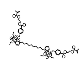 C=C(C)C(=O)OCCOC(=O)c1ccc(CSC2(P(=O)(OCC)OCC)SC3(CCCCCCCCCCC45C=CC(C4)C(SCc4ccc(C(=O)OCCOC(=O)C(=C)C)cc4)(P(=O)(OCC)OCC)S5)C=CC2C3)cc1